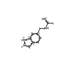 CC(=N)NCc1ccc2cn[nH]c2c1